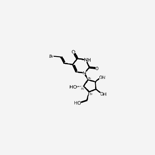 O=c1[nH]c(=O)n([C@H]2C(O)C(O)[C@@H](CO)[C@@H]2O)cc1C=CBr